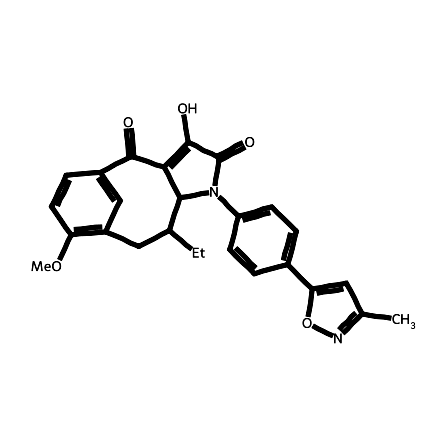 CCC1Cc2cc(ccc2OC)C(=O)C2=C(O)C(=O)N(c3ccc(-c4cc(C)no4)cc3)C21